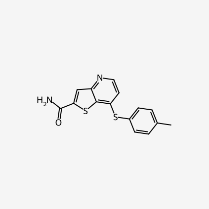 Cc1ccc(Sc2ccnc3cc(C(N)=O)sc23)cc1